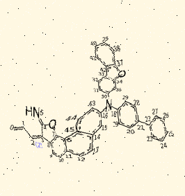 C=C/C=C1\C(=N)Oc2c1ccc1ccc3cc(N(c4ccc(-c5ccccc5)cc4)c4ccc5c(c4)oc4ccccc45)ccc3c21